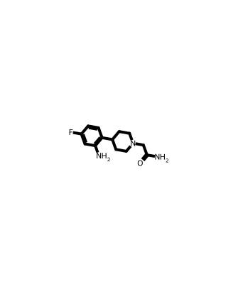 NC(=O)CN1CCC(c2ccc(F)cc2N)CC1